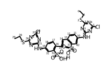 CCSc1nc(Cl)nc(Nc2ccc(/C=C/c3ccc(Nc4nc(Cl)nc(SCC)n4)cc3S(=O)(=O)O)c(S(=O)(=O)O)c2)n1